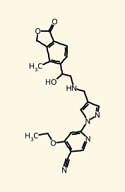 CCOc1cc(-n2cc(CNCC(O)c3ccc4c(c3C)COC4=O)cn2)ncc1C#N